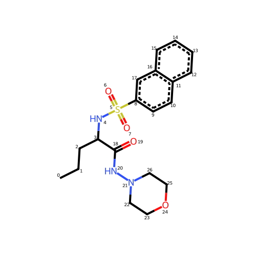 CCCC(NS(=O)(=O)c1ccc2ccccc2c1)C(=O)NN1CCOCC1